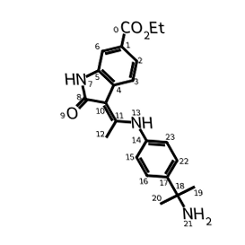 CCOC(=O)c1ccc2c(c1)NC(=O)C2=C(C)Nc1ccc(C(C)(C)N)cc1